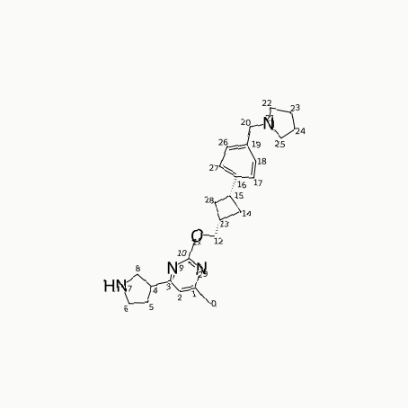 Cc1cc(C2CCNC2)nc(OC[C@H]2C[C@@H](c3ccc(CN4CCCC4)cc3)C2)n1